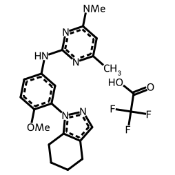 CNc1cc(C)nc(Nc2ccc(OC)c(-n3ncc4c3CCCC4)c2)n1.O=C(O)C(F)(F)F